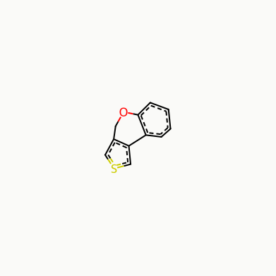 c1ccc2c(c1)OCc1cscc1-2